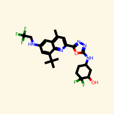 Cc1cc(-c2nnc(NC3CCC(F)(F)C(O)C3)o2)nc2c(C(C)(C)C)cc(NCC(F)(F)F)cc12